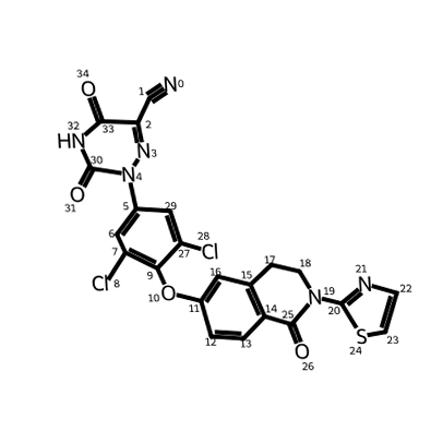 N#Cc1nn(-c2cc(Cl)c(Oc3ccc4c(c3)CCN(c3nccs3)C4=O)c(Cl)c2)c(=O)[nH]c1=O